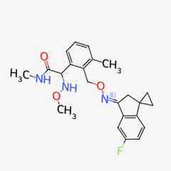 CNC(=O)C(NOC)c1cccc(C)c1CO/N=C1\CC2(CC2)c2ccc(F)cc21